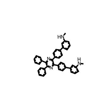 CNc1cccc(-c2ccc(-c3nc(-c4ccccc4)c(-c4ccccc4)nc3-c3ccc(-c4cccc(NC)c4)cc3)cc2)c1